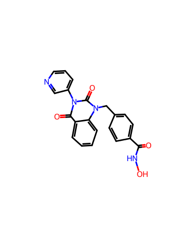 O=C(NO)c1ccc(Cn2c(=O)n(-c3cccnc3)c(=O)c3ccccc32)cc1